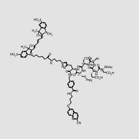 CCSSC[C@@H](NC(=O)[C@@H](CC(=O)O)NC(=O)[C@H](NC(=O)[C@@H](CCC(=O)O)NC(=O)[C@@H](CC(=O)O)NC(C)=O)C(C)C)C(=O)NC(Cc1cn(CCCNC(=O)CCCCC[N+]2=C(/C=C/C=C/C=C3/N(C)c4ccc(S(=O)(=O)O)cc4C3(C)C)C(C)(C)c3cc(S(=O)(=O)O)ccc32)nn1)C(=O)NCc1ccc(C(=O)NCCCOc2ccc3nc(C#N)ccc3c2)cc1